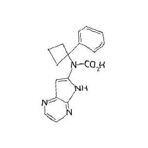 O=C(O)N(c1cc2nccnc2[nH]1)C1(c2ccccc2)CCC1